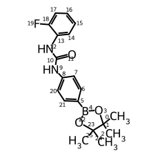 CC1(C)OB(c2ccc(NC(=O)Nc3ccccc3F)cc2)OC1(C)C